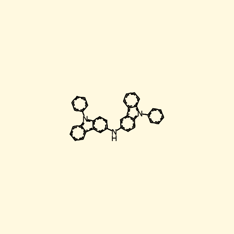 c1ccc(-n2c3ccccc3c3cc(Nc4ccc5c(c4)c4ccccc4n5-c4ccccc4)ccc32)cc1